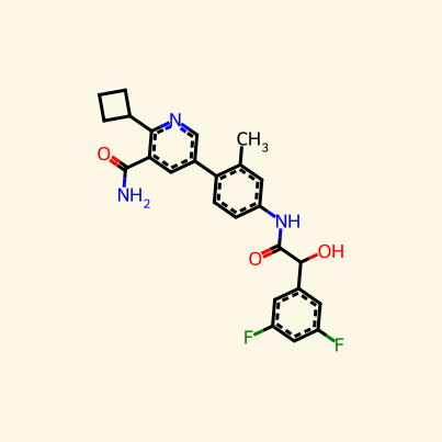 Cc1cc(NC(=O)C(O)c2cc(F)cc(F)c2)ccc1-c1cnc(C2CCC2)c(C(N)=O)c1